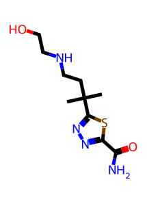 CC(C)(CCNCCO)c1nnc(C(N)=O)s1